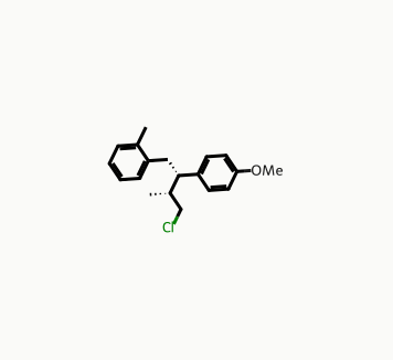 COc1ccc([C@@H](Cc2ccccc2C)[C@@H](C)CCl)cc1